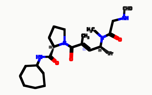 C/C(=C\[C@H](C(C)C)N(C)C(=O)CNC=O)C(=O)N1CCC[C@H]1C(=O)NC1CCCCCC1